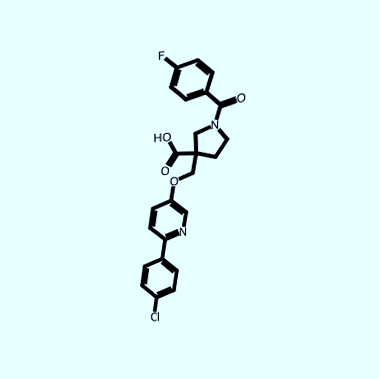 O=C(c1ccc(F)cc1)N1CCC(COc2ccc(-c3ccc(Cl)cc3)nc2)(C(=O)O)C1